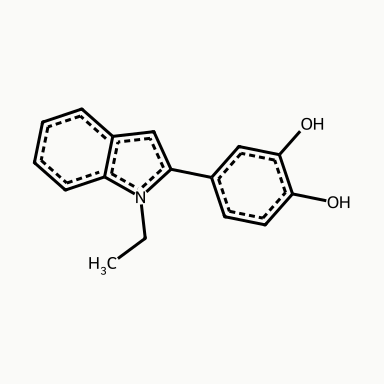 CCn1c(-c2ccc(O)c(O)c2)cc2ccccc21